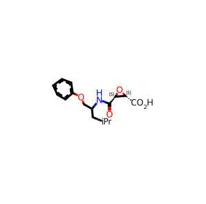 CC(C)CC(COc1ccccc1)NC(=O)[C@H]1O[C@@H]1C(=O)O